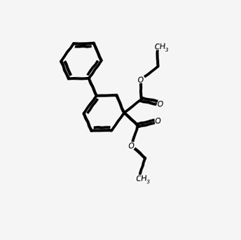 CCOC(=O)C1(C(=O)OCC)C=CC=C(c2ccccc2)C1